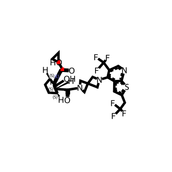 O=C([C@@H]1[C@@H]2CC[C@@H](/C(=C\C3CC3)[C@H]2O)N1C(=O)O)N1CC2(C1)CN(c1c(C(F)(F)F)cnc3sc(CC(F)(F)F)cc13)C2